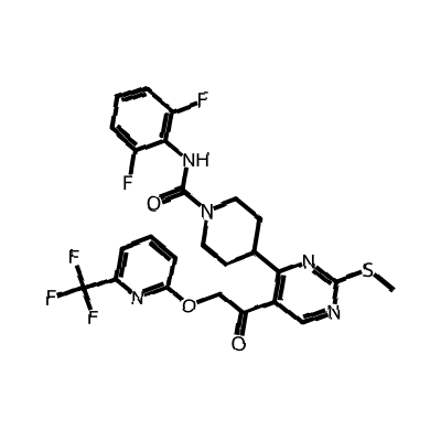 CSc1ncc(C(=O)COc2cccc(C(F)(F)F)n2)c(C2CCN(C(=O)Nc3c(F)cccc3F)CC2)n1